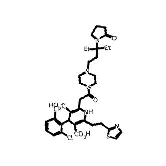 CCC(CC)(CCN1CCN(C(=O)CC2=C(C(=O)O)C(c3c(Cl)cccc3Cl)C(C(=O)O)=C(CCc3nccs3)N2)CC1)N1CCCC1=O